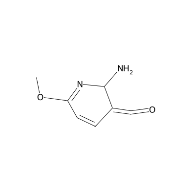 COC1=NC(N)C(=C=O)C=C1